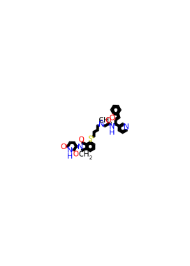 C=C1c2cccc(SCCCCN(C)CC(=O)NC(c3cccnc3)c3cc4ccccc4o3)c2C(=O)N1C1CCC(=O)NC1=O